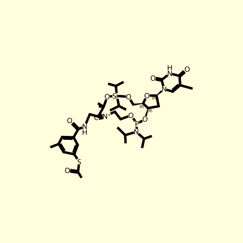 [C-]#[N+]CCOP(O[C@@H]1C[C@H](n2cc(C)c(=O)[nH]c2=O)O[C@@H]1CO[Si](OC(C)(C)CCNC(=O)c1cc(C)cc(SC(C)=O)c1)(C(C)C)C(C)C)N(C(C)C)C(C)C